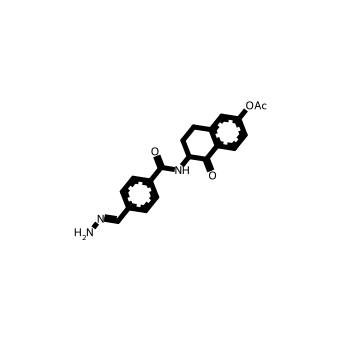 CC(=O)Oc1ccc2c(c1)CCC(NC(=O)c1ccc(C=NN)cc1)C2=O